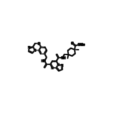 C=C(NCc1ccc2c(c1)-n1ccnc1CO2)c1cc(C(=C)NCC2(C)CCC(C)(C(=O)OC)CC2)n2nccc2n1